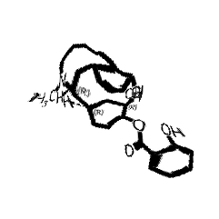 CN1CCCCc2c3ccc(O)c2O[C@@H]2C[C@@H](CC=C2OC(=O)c2ccccc2O)[C@H]1C3